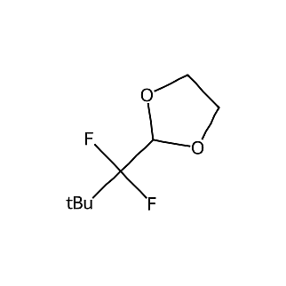 CC(C)(C)C(F)(F)C1OCCO1